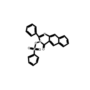 O=c1c2cc3ccccc3cc2nc(-c2ccccc2)n1OS(=O)(=O)c1ccccc1